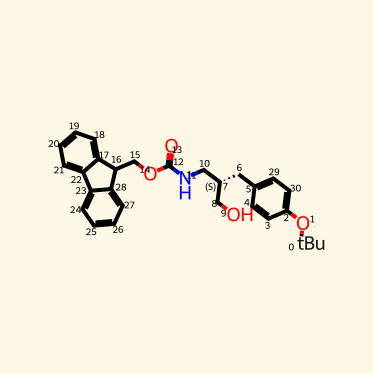 CC(C)(C)Oc1ccc(C[C@H](CO)CNC(=O)OCC2c3ccccc3-c3ccccc32)cc1